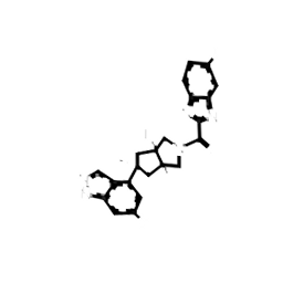 O=C(c1nc2cc(Cl)ccc2[nH]1)N1C[C@@H]2C[C@@](O)(c3cc(Cl)cc4[nH]ncc34)C[C@@H]2C1